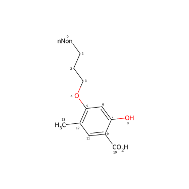 CCCCCCCCCCCCOc1cc(O)c(C(=O)O)cc1C